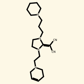 N#CC(C#N)=C1N(CCCN2CCCCC2)CCN1CCN1CC=CCC1